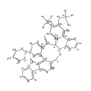 C=C1C2C(CCc3ncc4c(oc5ccccc54)c3-c3cc(C4CCCCC4)cc[n+]31)c1ccccc1-c1cc(CC(C)(C)C)c([Si](C)(C)C)c[n+]12